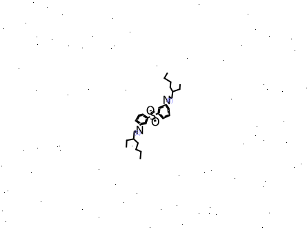 CCCCC(/C=N/c1cccc(S(=O)(=O)c2cccc(/N=C/C(CC)CCCC)c2)c1)CC